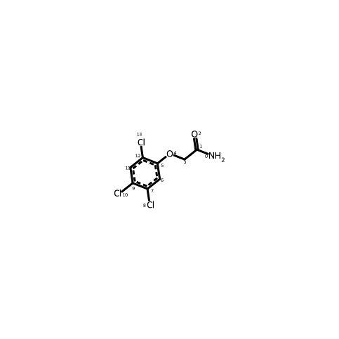 NC(=O)COc1cc(Cl)c(Cl)cc1Cl